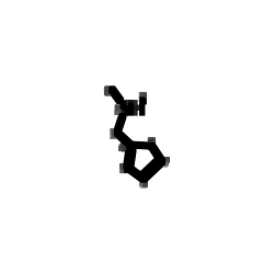 C[SiH](C)CC1=[C]C=CC1